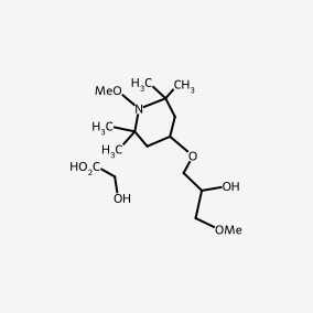 COCC(O)COC1CC(C)(C)N(OC)C(C)(C)C1.O=C(O)CO